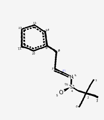 CC(C)(C)[S@@+]([O-])/N=C/Cc1ccccc1